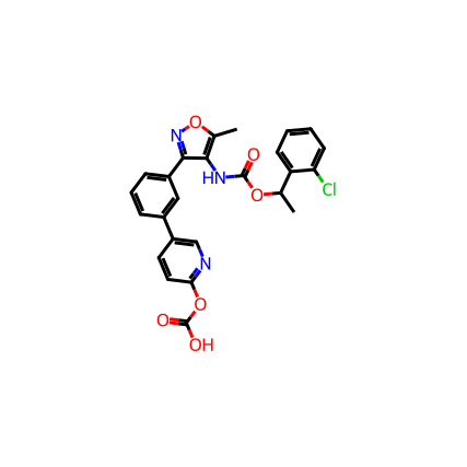 Cc1onc(-c2cccc(-c3ccc(OC(=O)O)nc3)c2)c1NC(=O)OC(C)c1ccccc1Cl